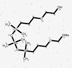 COCOCCC[Si](C)(C)O[Si](C)(C)O[Si](C)(C)CCCOCCO